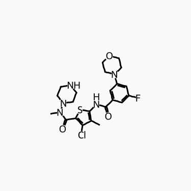 Cc1c(NC(=O)c2cc(F)cc(N3CCOCC3)c2)sc(C(=O)N(C)N2CCNCC2)c1Cl